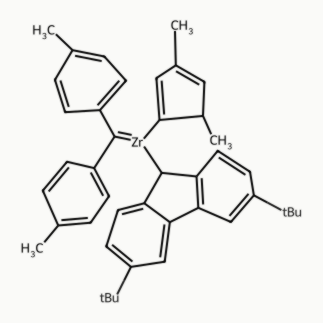 CC1=CC(C)[C]([Zr](=[C](c2ccc(C)cc2)c2ccc(C)cc2)[CH]2c3ccc(C(C)(C)C)cc3-c3cc(C(C)(C)C)ccc32)=C1